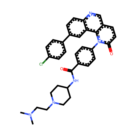 CN(C)CCN1CCC(NC(=O)c2ccc(-n3c(=O)ccc4cnc5ccc(-c6ccc(Cl)cc6)cc5c43)cc2)CC1